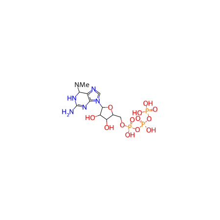 CNC1NC(N)=Nc2c1ncn2C1OC(COP(=O)(O)OP(=O)(O)OP(=O)(O)O)C(O)C1O